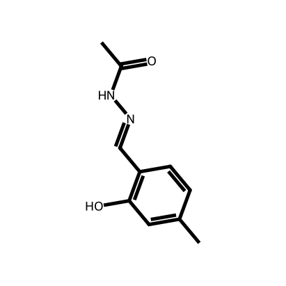 CC(=O)NN=Cc1ccc(C)cc1O